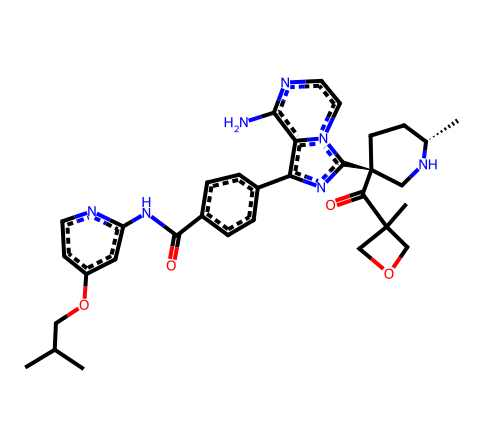 CC(C)COc1ccnc(NC(=O)c2ccc(-c3nc([C@@]4(C(=O)C5(C)COC5)CC[C@H](C)NC4)n4ccnc(N)c34)cc2)c1